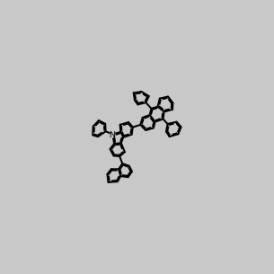 c1ccc(-c2c3ccccc3c(-c3ccccc3)c3cc(-c4ccc5c(c4)c4cc(-c6cccc7ccccc67)ccc4n5-c4ccccc4)ccc23)cc1